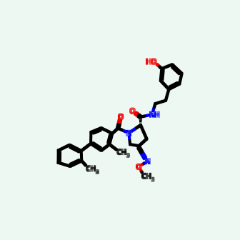 CON=C1C[C@@H](C(=O)NCCc2cccc(O)c2)N(C(=O)c2ccc(-c3ccccc3C)cc2C)C1